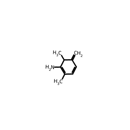 C=C1C=CC(C)=C(N)C1C